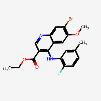 CCOC(=O)c1cnc2cc(Br)c(OC)cc2c1Nc1cc(C)ccc1F